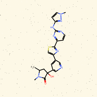 CN1C(=O)C(O)(c2cncc(-c3csc(-c4ccnc(Nc5ccn(C)n5)n4)n3)c2)CC1C(F)(F)F